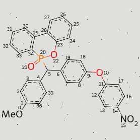 COc1ccc(C(c2ccc(Oc3ccc([N+](=O)[O-])cc3)cc2)P2(=O)Oc3ccccc3-c3ccccc32)cc1